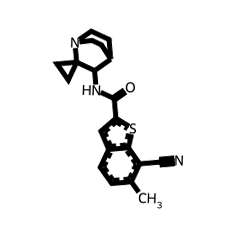 Cc1ccc2cc(C(=O)NC3C4CCN(CC4)C34CC4)sc2c1C#N